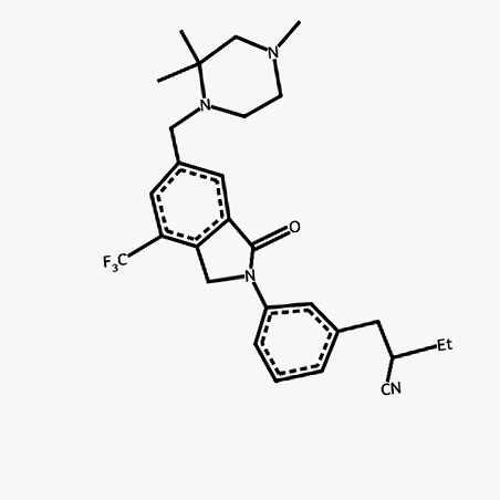 CCC(C#N)Cc1cccc(N2Cc3c(cc(CN4CCN(C)CC4(C)C)cc3C(F)(F)F)C2=O)c1